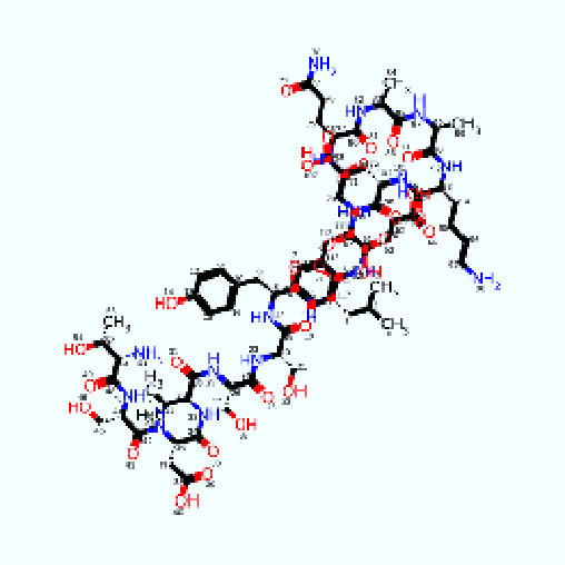 CC(C)C[C@H](NC(=O)[C@H](Cc1ccc(O)cc1)NC(=O)[C@H](CO)NC(=O)[C@H](CO)NC(=O)[C@@H](NC(=O)[C@H](CC(=O)O)NC(=O)[C@H](CO)NC(=O)[C@@H](N)[C@@H](C)O)C(C)C)C(=O)N[C@@H](CCC(=O)O)C(=O)NCC(=O)N[C@@H](CCC(N)=O)C(=O)N[C@@H](C)C(=O)N[C@@H](C)C(=O)N[C@@H](CCCCN)C(=O)N[C@@H](CCC(=O)O)C(=O)N[C@@H](Cc1ccccc1)C(=O)O